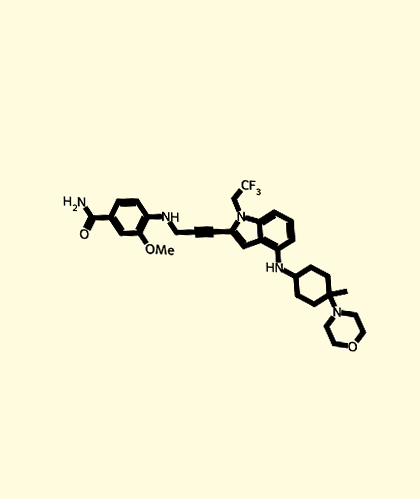 COc1cc(C(N)=O)ccc1NCC#Cc1cc2c(NC3CCC(C)(N4CCOCC4)CC3)cccc2n1CC(F)(F)F